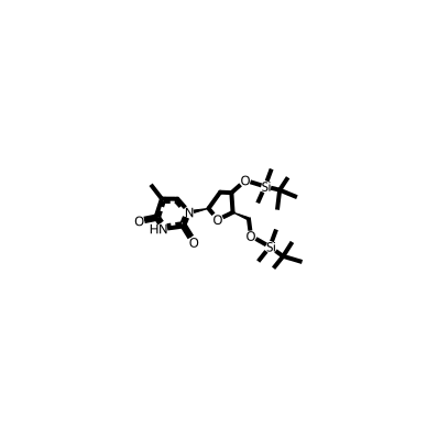 Cc1cn([C@H]2CC(O[Si](C)(C)C(C)(C)C)[C@@H](CO[Si](C)(C)C(C)(C)C)O2)c(=O)[nH]c1=O